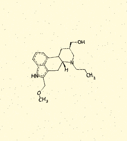 CCCN1C[C@H](CO)CC2c3cccc4[nH]c(COC)c(c34)C[C@H]21